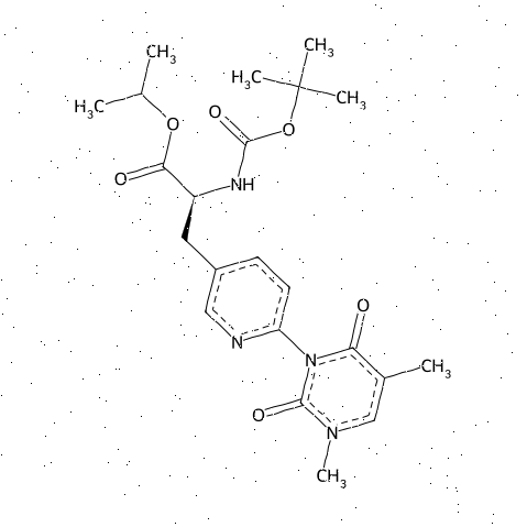 Cc1cn(C)c(=O)n(-c2ccc(C[C@H](NC(=O)OC(C)(C)C)C(=O)OC(C)C)cn2)c1=O